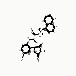 O=C1NC(=O)[C@@]2(C[C@@H](C(=O)NNc3cccc4ccccc34)Oc3ccc(F)cc32)N1